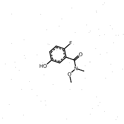 CON(C)C(=O)c1cc(O)ccc1F